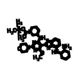 COc1nc(N2CCOCC2)nc(NC2CCCN(C(=O)OC(C)(C)C)C2)c1-c1nc2c(NC3CCCCC3N)cccc2s1